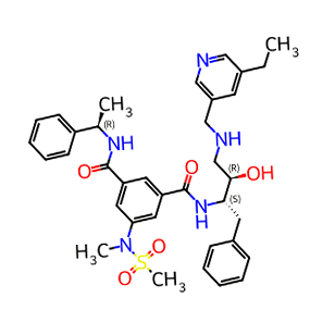 CCc1cncc(CNC[C@@H](O)[C@H](Cc2ccccc2)NC(=O)c2cc(C(=O)N[C@H](C)c3ccccc3)cc(N(C)S(C)(=O)=O)c2)c1